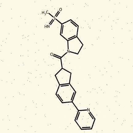 CS(=N)(=O)c1ccc2c(c1)N(C(=O)C1Cc3ccc(-c4ccccn4)cc3C1)CC2